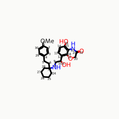 COc1ccc(CCC2(NCC(O)c3ccc(O)c4c3OCC(=O)N4)CCCCC2)cc1